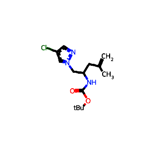 C=C(C)CC(Cn1cc(Cl)cn1)NC(=O)OC(C)(C)C